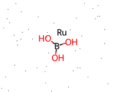 OB(O)O.[Ru]